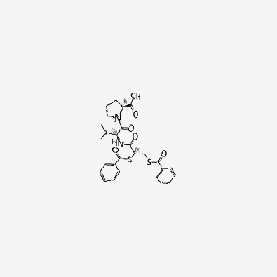 CC(C)[C@H](NC(=O)[C@H](CSC(=O)c1ccccc1)SC(=O)c1ccccc1)C(=O)N1CCC[C@H]1C(=O)O